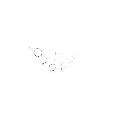 CCOCN1C[C@@H](CO)[C@@H](NS(=O)(=O)c2cn(C)c(C(=O)Nc3ccc(F)c(C)c3)c2F)C1